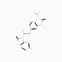 Cc1c(F)ccc2[nH]c(=O)n(C(C)Cc3ccc4c(c3)n(C)c(=O)n4C(C)C)c12